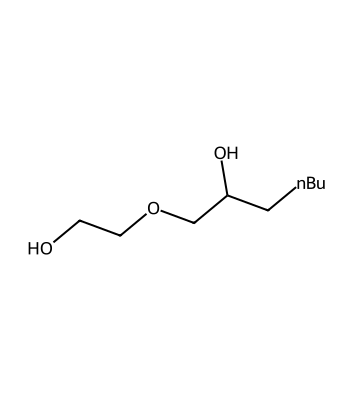 CCCCCC(O)COCCO